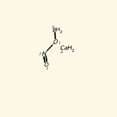 BON=O.[CaH2]